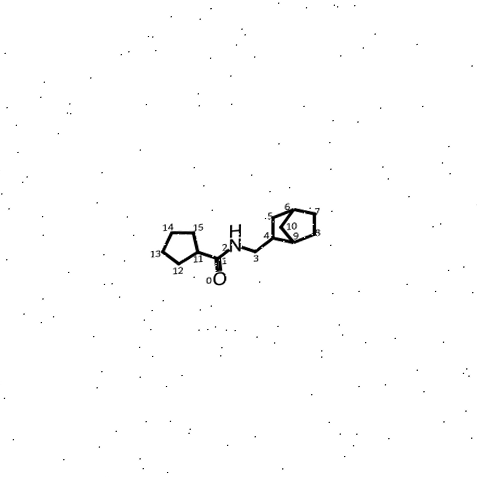 O=C(NCC1CC2CCC1C2)C1CCCC1